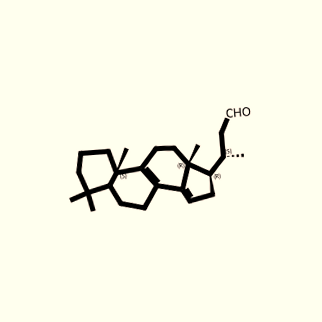 C[C@@H](CC=O)[C@H]1CC=C2C3=C(CC[C@@]21C)[C@@]1(C)CCCC(C)(C)C1CC3